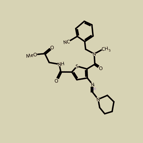 COC(=O)CNC(=O)c1cc(/N=C/N2CCCCC2)c(C(=O)N(C)Cc2ccccc2C#N)s1